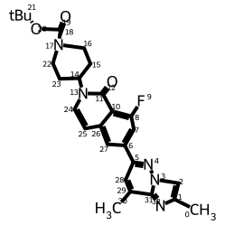 Cc1cn2nc(-c3cc(F)c4c(=O)n(C5CCN(C(=O)OC(C)(C)C)CC5)ccc4c3)cc(C)c2n1